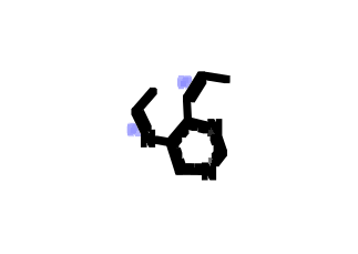 C/C=C\c1ncncc1/N=C\C